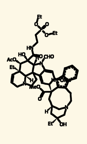 CCOP(=O)(CCNC(=O)[C@@]1(O)[C@H](OC(C)=O)[C@]2(CC)C=CCN3CC[C@@]4(C5=CC([C@@]6(C(=O)OC)C[C@H]7CN(CCc8c6[nH]c6ccccc86)C[C@](O)(CC)C7)C(OC)C=C5N(C=O)[C@@H]14)[C@@H]32)OCC